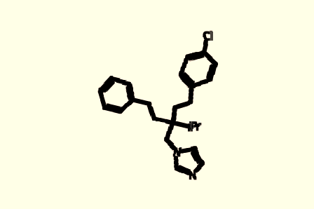 CC(C)C(CCc1ccccc1)(CCc1ccc(Cl)cc1)Cn1ccnc1